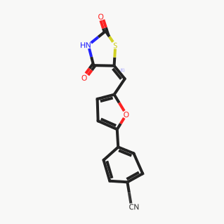 N#Cc1ccc(-c2ccc(/C=C3/SC(=O)NC3=O)o2)cc1